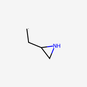 [CH2]CC1CN1